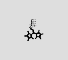 CC1=C(C)C(C)C(C(=C[CH2][Zr+3])C2=C(C)C(C)=C(C)C2C)=C1C.[Cl-].[Cl-].[Cl-]